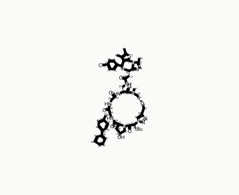 Cc1sc2c(c1C)C(c1ccc(Cl)cc1)=N[C@@H](CC(=O)NC[C@H]1NC(=O)CNC(=O)[C@@H](Cc3ccc(-c4ccccc4)cc3)NC(=O)[C@@H]3C[C@@H](O)CN3C(=O)[C@H](C(C)(C)C)n3cc(nn3)COCCN(C)C1=O)c1nnc(C)n1-2